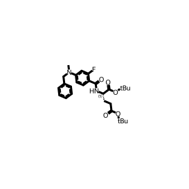 CN(Cc1ccccc1)c1ccc(C(=O)N[C@@H](CCC(=O)OC(C)(C)C)C(=O)OC(C)(C)C)c(F)c1